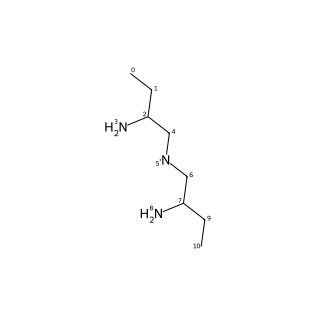 CCC(N)C[N]CC(N)CC